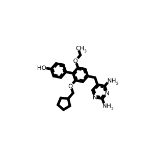 CCOc1cc(Cc2cnc(N)nc2N)cc(OCC2CCCC2)c1-c1ccc(O)cc1